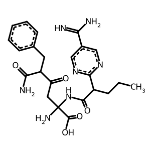 CCCC(C(=O)NC(N)(CC(=O)C(Cc1ccccc1)C(N)=O)C(=O)O)c1ncc(C(=N)N)cn1